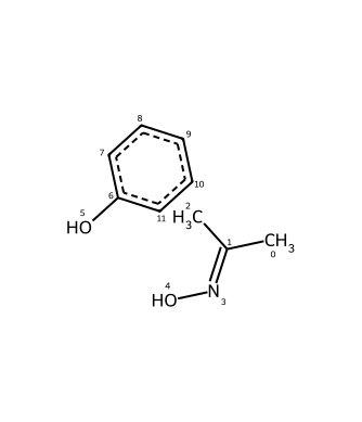 CC(C)=NO.Oc1ccccc1